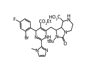 CCOC(=O)C1=C(CC2C3C(C(=O)O)NCCN3C(=O)N2C(C)(C)C)NC(c2nccn2C)=NC1c1ccc(F)cc1Br